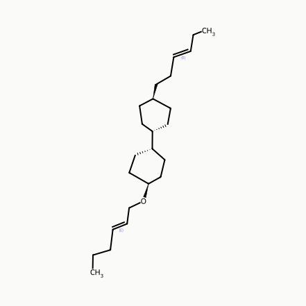 CC/C=C/CC[C@H]1CC[C@H]([C@H]2CC[C@H](OC/C=C/CCC)CC2)CC1